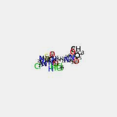 COc1cccc2c1N1CCN(CCCCn3c(=O)[nH]c4c(sc5ncc(Cl)nc54)c3=O)CC1CO2.Cl.Cl